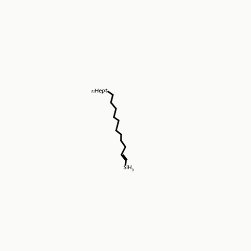 CCCCCCCCCCCCCCCCC=C[SiH3]